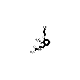 CCCCOc1cccc(CCNC(C)=O)c1OC